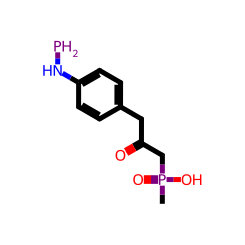 CP(=O)(O)CC(=O)Cc1ccc(NP)cc1